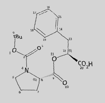 CC(C)(C)OC(=O)N1CCC[C@H]1C(=O)O[C@@H](Cc1ccccc1)C(=O)O